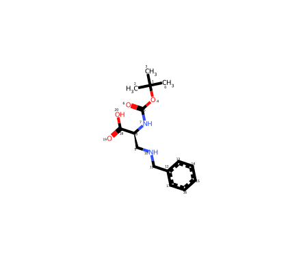 CC(C)(C)OC(=O)N[C@@H](CNCc1ccccc1)C(=O)O